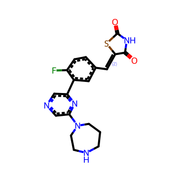 O=C1NC(=O)/C(=C/c2ccc(F)c(-c3cncc(N4CCCNCC4)n3)c2)S1